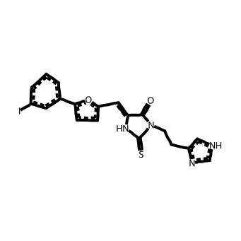 O=C1C(=Cc2ccc(-c3cccc(I)c3)o2)NC(=S)N1CCc1c[nH]cn1